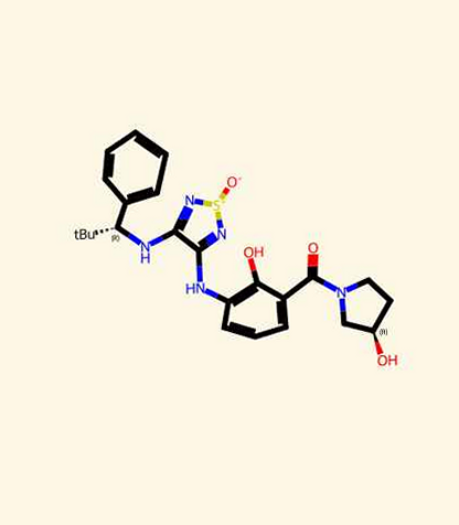 CC(C)(C)[C@@H](Nc1n[s+]([O-])nc1Nc1cccc(C(=O)N2CC[C@@H](O)C2)c1O)c1ccccc1